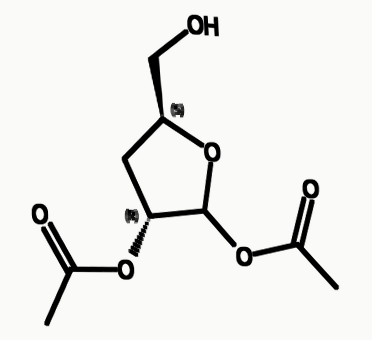 CC(=O)OC1O[C@H](CO)C[C@H]1OC(C)=O